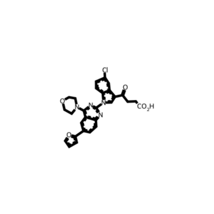 O=C(O)CCC(=O)c1cn(-c2nc(N3CCOCC3)c3cc(-c4ccco4)ccc3n2)c2ccc(Cl)cc12